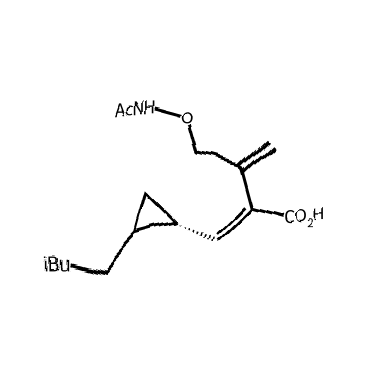 C=C(CONC(C)=O)/C(=C\[C@H]1CC1CC(C)CC)C(=O)O